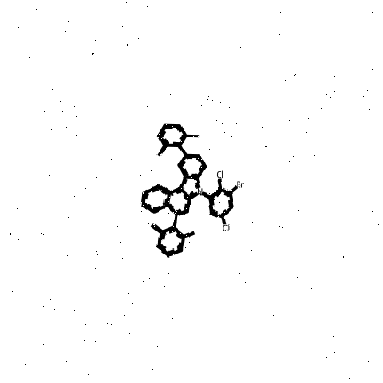 Cc1cccc(C)c1-c1ccc2c(c1)c1c3ccccc3c(-c3c(C)cccc3C)cc1n2-c1cc(Cl)cc(Br)c1Cl